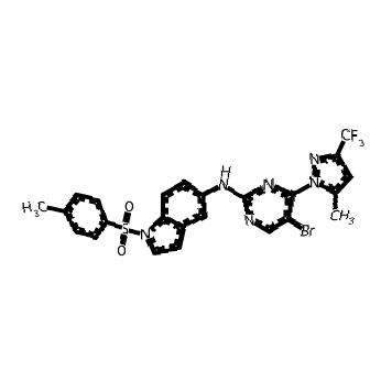 Cc1ccc(S(=O)(=O)n2ccc3cc(Nc4ncc(Br)c(-n5nc(C(F)(F)F)cc5C)n4)ccc32)cc1